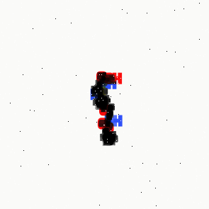 CC(CCNC(=O)OCc1ccccc1)Oc1ccc(-c2ncc(CNC(=O)O)s2)cc1